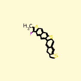 Cc1sc2cc3cc4sc5cc6cc7sccc7cc6cc5c4cc3cc2c1I